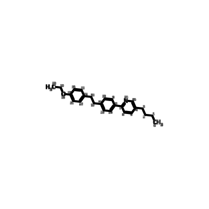 CCCCc1ccc(-c2ccc(CCc3ccc(OCC)cc3)cc2)nc1